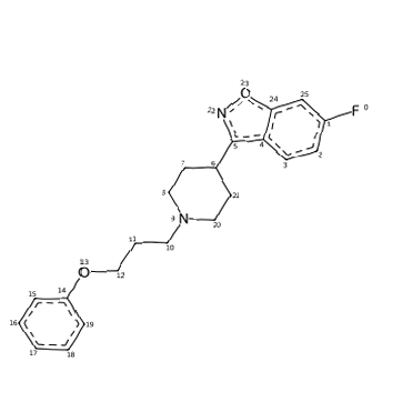 Fc1ccc2c(C3CCN(CCCOc4ccccc4)CC3)noc2c1